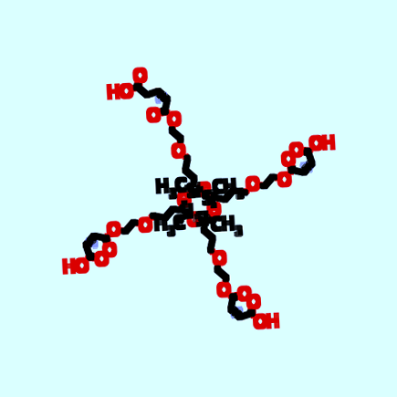 C[Si]1(CCCOCCOC(=O)/C=C\CC(=O)O)O[Si](C)(CCCOCCOC(=O)/C=C\C(=O)O)O[Si](C)(CCCOCCOC(=O)/C=C\C(=O)O)O[Si](C)(CCCOCCOC(=O)/C=C\C(=O)O)O1